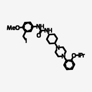 COc1ccc(NC(=O)N[C@H]2CC[C@H](N3CCN(c4ccccc4OC(C)C)CC3)CC2)cc1CI